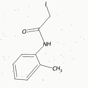 Cc1ccccc1NC(=O)CI